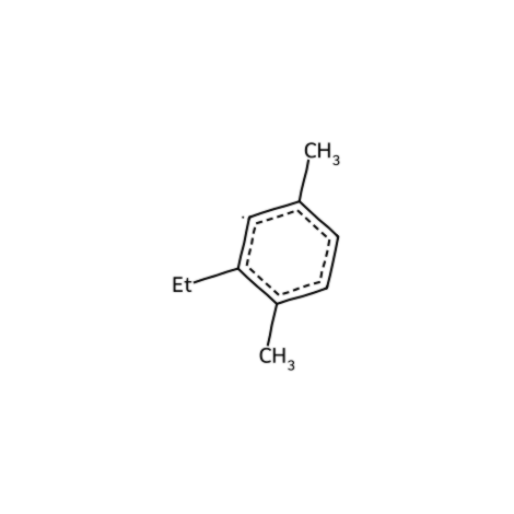 CCc1[c]c(C)ccc1C